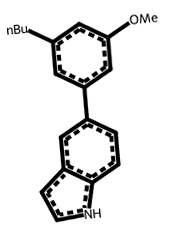 CCCCc1cc(OC)cc(-c2ccc3[nH]ccc3c2)c1